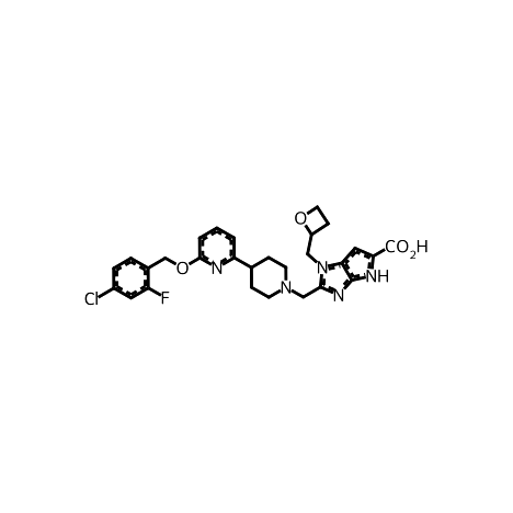 O=C(O)c1cc2c(nc(CN3CCC(c4cccc(OCc5ccc(Cl)cc5F)n4)CC3)n2CC2CCO2)[nH]1